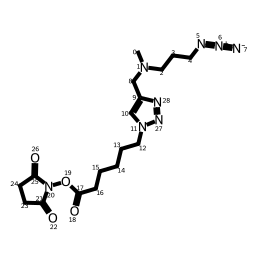 CN(CCCN=[N+]=[N-])Cc1cn(CCCCCC(=O)ON2C(=O)CCC2=O)nn1